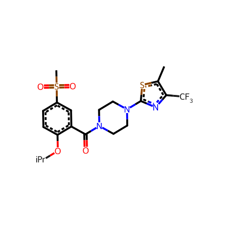 Cc1sc(N2CCN(C(=O)c3cc(S(C)(=O)=O)ccc3OC(C)C)CC2)nc1C(F)(F)F